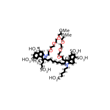 COCCOCCOCCOCC[N+]1=C(/C=C/C=C/C=C/C=C2/N(CCCCCC(=O)O)c3ccc4c(S(=O)(=O)O)cc(S(=O)(=O)O)cc4c3C2(C)CCOCCOCCOCCOC)C(C)(CCCS(=O)(=O)O)c2c1cc(S(=O)(=O)O)c1ccc(S(=O)(=O)O)cc21